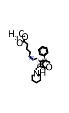 COC(=O)CCC/C=C\C[C@H]1[C@H](CN2CCCCC2)[C@@H]2C[C@@]1(c1ccccc1)CO2